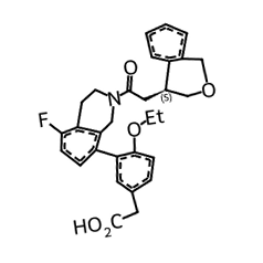 CCOc1ccc(CC(=O)O)cc1-c1ccc(F)c2c1CN(C(=O)C[C@@H]1COCc3ccccc31)CC2